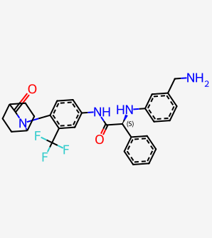 NCc1cccc(N[C@H](C(=O)Nc2ccc(N3C(=O)C4CCC3CC4)c(C(F)(F)F)c2)c2ccccc2)c1